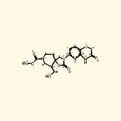 CC(C)(C)OC(=O)N1CCC2(CN(c3ccc4c(n3)NC(=O)CO4)C(=O)O2)C(CO)C1